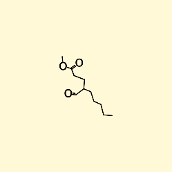 CCCCCC(C=O)CCC(=O)OC